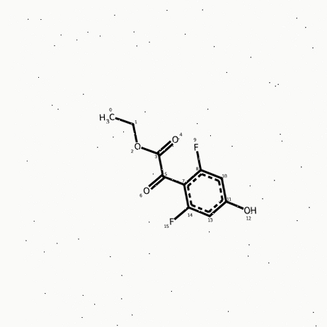 CCOC(=O)C(=O)c1c(F)cc(O)cc1F